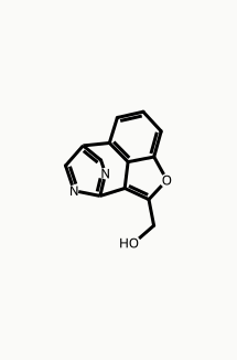 OCc1oc2cccc3c2c1-c1ncc-3cn1